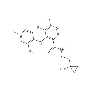 Cc1cc(I)ccc1Nc1c(C(=O)NOCC2(O)CC2)ccc(F)c1F